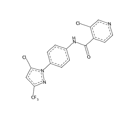 O=C(Nc1ccc(-n2nc(C(F)(F)F)cc2Cl)cc1)c1ccncc1Cl